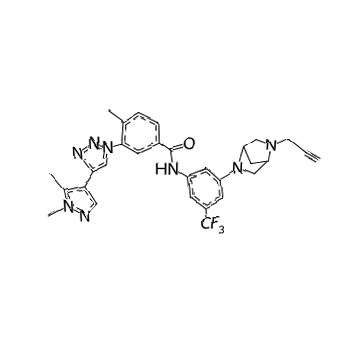 C#CCN1CC2CC1CN2c1cc(NC(=O)c2ccc(C)c(-n3cc(-c4cnn(C)c4C)nn3)c2)cc(C(F)(F)F)c1